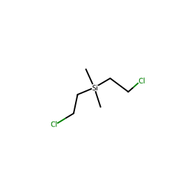 C[Si](C)(CCCl)CCCl